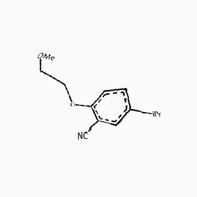 COCCOc1ccc(C(C)C)cc1C#N